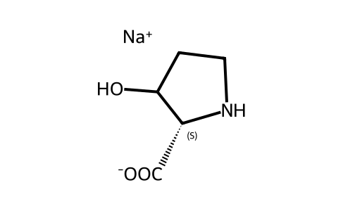 O=C([O-])[C@H]1NCCC1O.[Na+]